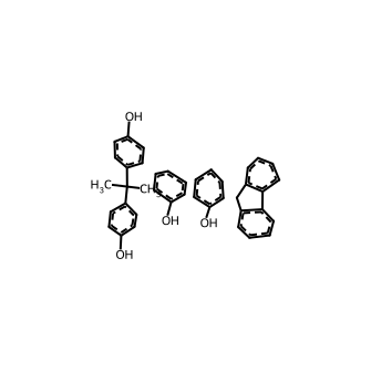 CC(C)(c1ccc(O)cc1)c1ccc(O)cc1.Oc1ccccc1.Oc1ccccc1.c1ccc2c(c1)Cc1ccccc1-2